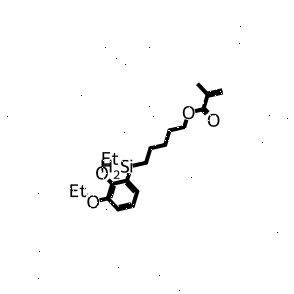 C=C(C)C(=O)OCCCCC[SiH2]c1cccc(OCC)c1OCC